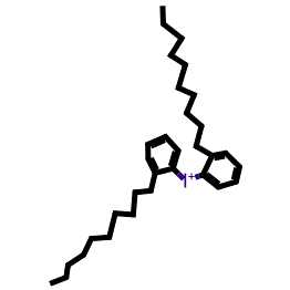 CCCCCCCCCCc1ccccc1[I+]c1ccccc1CCCCCCCCCC